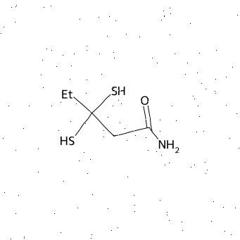 CCC(S)(S)CC(N)=O